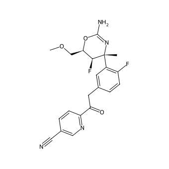 COC[C@H]1OC(N)=N[C@](C)(c2cc(CC(=O)c3ccc(C#N)cn3)ccc2F)[C@H]1F